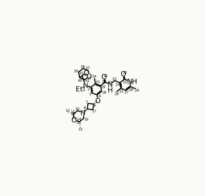 CCN(c1cc(O[C@H]2C[C@H](N3C[C@@H](C)O[C@@H](C)C3)C2)cc(C(=O)NCc2c(C)cc(C)[nH]c2=O)c1C)C1CC2CCC1CO2